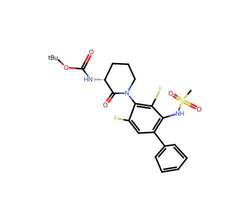 CC(C)(C)OC(=O)N[C@@H]1CCCN(c2c(F)cc(-c3ccccc3)c(NS(C)(=O)=O)c2F)C1=O